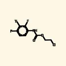 O=C(Nc1ccc(F)[c]([Ti])c1F)OCCCl